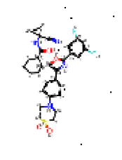 N#CC1(NC(=O)[C@@H]2CCCC[C@H]2c2oc(-c3cc(F)cc(F)c3)nc2-c2ccc(N3CCS(=O)(=O)CC3)cc2)CC1